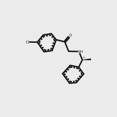 C[C@H](NCC(=O)c1ccc(Cl)cc1)c1ccccc1